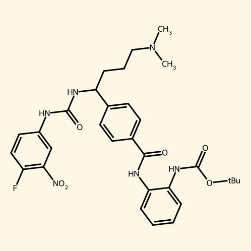 CN(C)CCCC(NC(=O)Nc1ccc(F)c([N+](=O)[O-])c1)c1ccc(C(=O)Nc2ccccc2NC(=O)OC(C)(C)C)cc1